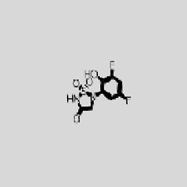 O=C1CN(c2cc(F)cc(F)c2O)S(=O)(=O)N1